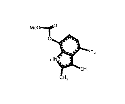 COC(=O)Oc1ccc(N)c2c(C)c(C)[nH]c12